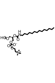 CCCCCCCCCCCCCCNC(=O)O[C@H](COO)COP(=O)([O-])OCC[N+](C)(C)C